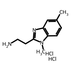 Cc1ccc2c(c1)nc(CCN)n2C.Cl.Cl